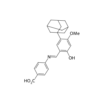 COc1cc(O)c(C=Nc2ccc(C(=O)O)cc2)cc1C12CC3CC(CC(C3)C1)C2